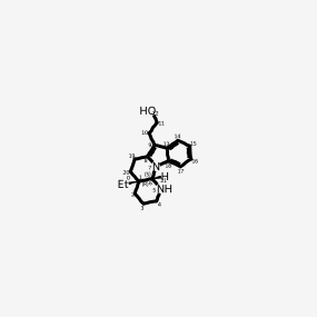 CC[C@]12CCCN[C@H]1n1c(c(CCO)c3ccccc31)CC2